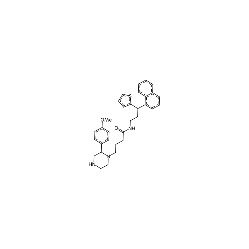 COc1ccc(C2CNCCN2CCCC(=O)NCCC(c2cccs2)c2cccc3ccccc23)cc1